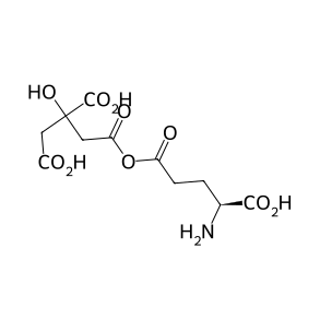 N[C@@H](CCC(=O)OC(=O)CC(O)(CC(=O)O)C(=O)O)C(=O)O